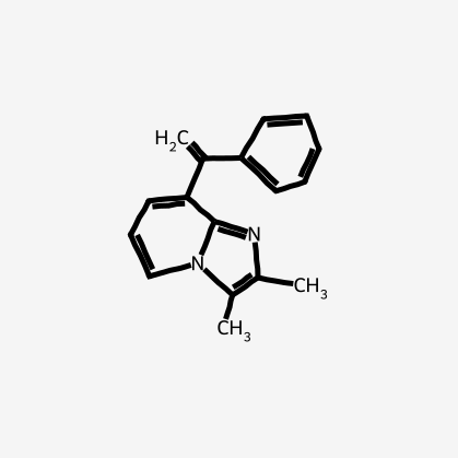 C=C(c1ccccc1)c1cccn2c(C)c(C)nc12